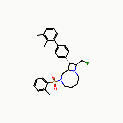 Cc1ccccc1S(=O)(=O)N1CCCCN2C(C1)[C@H](c1ccc(-c3cccc(C)c3C)cc1)[C@H]2CF